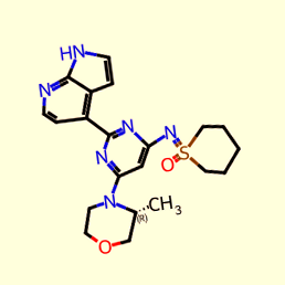 C[C@@H]1COCCN1c1cc(N=S2(=O)CCCCC2)nc(-c2ccnc3[nH]ccc23)n1